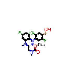 CN(CCN(C)c1cc(F)ccc1Nc1cc(F)c(SO)cc1Cl)C(=O)OC(C)(C)C